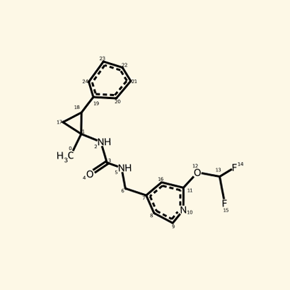 CC1(NC(=O)NCc2ccnc(OC(F)F)c2)CC1c1ccccc1